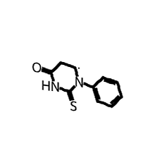 O=C1C[CH]N(c2ccccc2)C(=S)N1